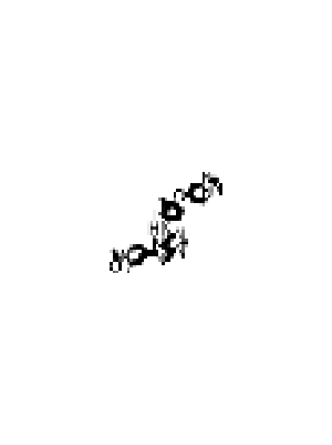 CC(=O)N1CCC(c2ncc3ncnc(Nc4ccc(Oc5ccn6ncnc6c5)c(C)c4F)c3n2)=C[C@@H]1C